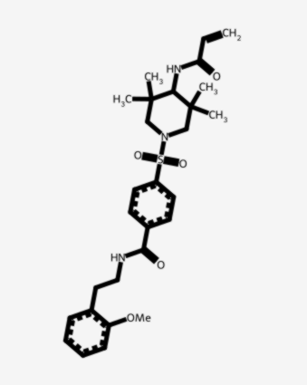 C=CC(=O)NC1C(C)(C)CN(S(=O)(=O)c2ccc(C(=O)NCCc3ccccc3OC)cc2)CC1(C)C